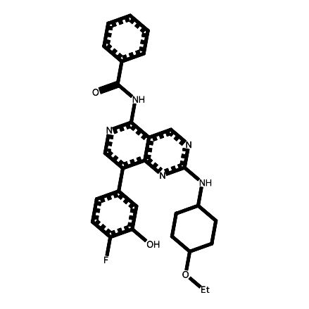 CCOC1CCC(Nc2ncc3c(NC(=O)c4ccccc4)ncc(-c4ccc(F)c(O)c4)c3n2)CC1